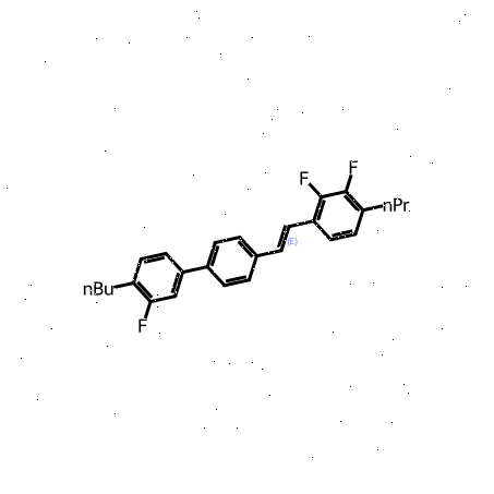 CCCCc1ccc(-c2ccc(/C=C/c3ccc(CCC)c(F)c3F)cc2)cc1F